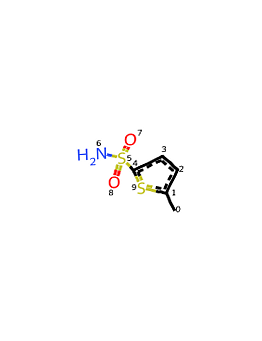 Cc1ccc(S(N)(=O)=O)s1